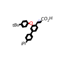 CC(C)c1ccc(-c2ccc(/C=C/C(=O)O)c(Oc3ccc(C(C)(C)C)cc3)c2)cc1